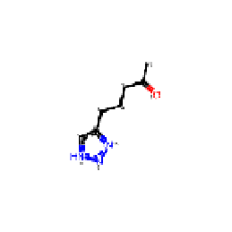 CC(=O)CCCc1c[nH]nn1